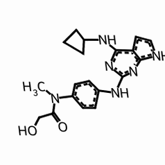 CN(C(=O)CO)c1ccc(Nc2nc(NC3CCC3)c3cc[nH]c3n2)cc1